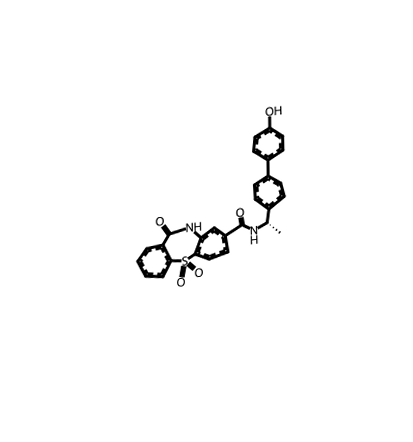 C[C@H](NC(=O)c1ccc2c(c1)NC(=O)c1ccccc1S2(=O)=O)c1ccc(-c2ccc(O)cc2)cc1